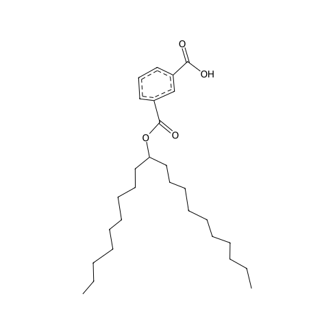 CCCCCCCCCCC(CCCCCCCCC)OC(=O)c1cccc(C(=O)O)c1